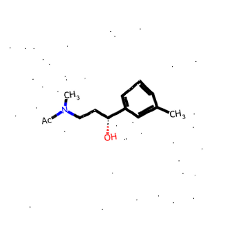 CC(=O)N(C)CC[C@@H](O)c1cccc(C)c1